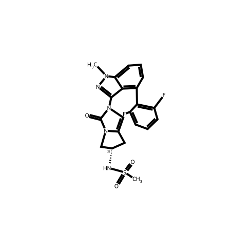 Cn1nc(-n2cc3n(c2=O)C[C@@H](NS(C)(=O)=O)C3)c2c(-c3c(F)cccc3F)cccc21